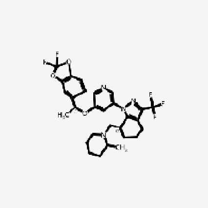 CC1CCCCN1C[C@@H]1CCCc2c(C(F)(F)F)nn(-c3cncc(O[C@@H](C)c4ccc5c(c4)OC(F)(F)O5)c3)c21